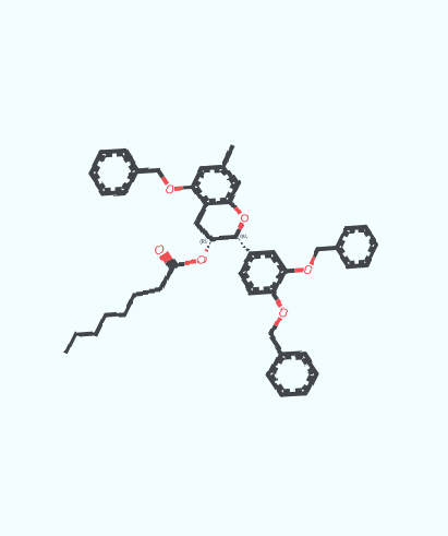 CCCCCCCC(=O)O[C@@H]1Cc2c(OCc3ccccc3)cc(C)cc2O[C@@H]1c1ccc(OCc2ccccc2)c(OCc2ccccc2)c1